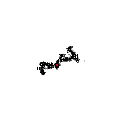 Cc1c(-c2ccc(N3CCc4cccc(C(=O)Nc5nc6ccccc6s5)c4C3)nc2C(=O)O)cnn1CC12CC3(C)CC(C)(C1)CC(OCCN(CCS(=O)(=O)O)C(=O)OCc1ccc(NC(=O)[C@H](CCCNC(N)=O)NC(=O)C(NC(=O)CCN4C(=O)C=CC4=O)C(C)C)cc1)(C3)C2